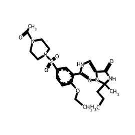 CCCC1(C)NC(=O)C2=CNC(c3cc(S(=O)(=O)N4CCN(C(C)=O)CC4)ccc3OCC)=NN21